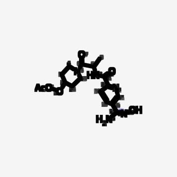 CC(=O)OOC1CCN(C(=O)C(C)NC(=O)c2ccc(/C(N)=N\O)cn2)CC1